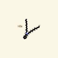 Br.CCCCCCCCCCCCN(CCCCCCCCCCCC)C(C)(C)c1ccccc1